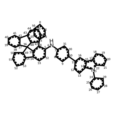 c1ccc(-c2c(Nc3ccc(-c4ccc5c(c4)c4ccccc4n5-c4ccccc4)cc3)ccc3c2C2(c4ccccc4-c4ccccc42)c2ccccc2-3)cc1